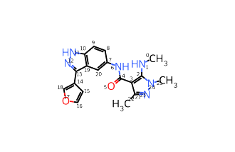 CNc1c(C(=O)Nc2ccc3[nH]nc(-c4ccoc4)c3c2)c(C)nn1C